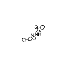 O=C1/C(=C/Nc2nc3cc(Cl)ccc3o2)Sc2ccccc21